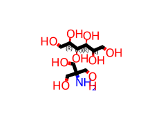 NC(CO)(CO)CO.OC[C@@H](O)[C@@H](O)[C@H](O)[C@H](O)CO